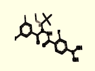 CC[C@@H](N(NC(=O)c1ccc(B(O)O)cc1F)C(=O)c1cc(C)cc(I)c1)C(C)(C)C